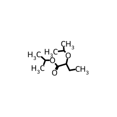 CCC(OC(C)C)C(=O)OC(C)C